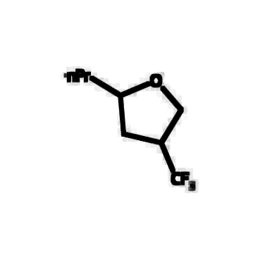 CC[CH]C1CC(C(F)(F)F)CO1